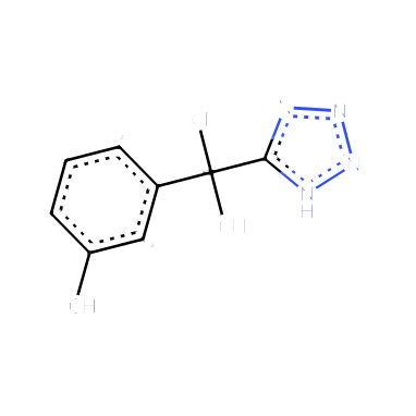 Cc1cccc(C(C)(C)c2nnn[nH]2)c1